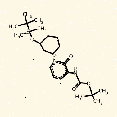 CC(C)(C)OC(=O)Nc1cccn([C@H]2CCCC(O[Si](C)(C)C(C)(C)C)C2)c1=O